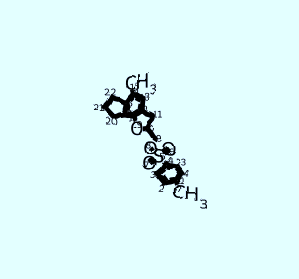 Cc1ccc(S(=O)(=O)OCC2Cc3cc(C)c4c(c3O2)CCC4)cc1